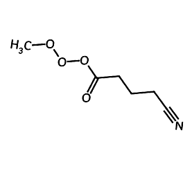 COOOC(=O)CCCC#N